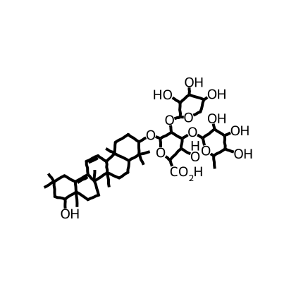 CC1OC(OC2C(O)C(C(=O)O)OC(OC3CCC4(C)C(CCC5(C)C4C=CC4=C6CC(C)(C)CC(O)C6(C)CCC45C)C3(C)C)C2OC2OCC(O)C(O)C2O)C(O)C(O)C1O